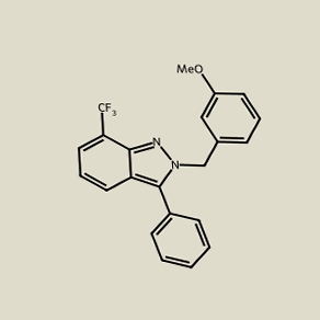 COc1cccc(Cn2nc3c(C(F)(F)F)cccc3c2-c2ccccc2)c1